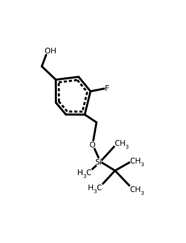 CC(C)(C)[Si](C)(C)OCc1ccc(CO)cc1F